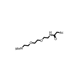 CNCCOCCOCCNC(=O)CC(C)=O